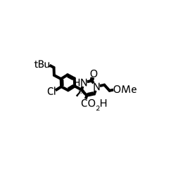 COCCN1C=C(C(=O)O)[C@](C)(c2ccc(CCC(C)(C)C)c(Cl)c2)NC1=O